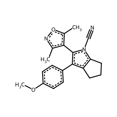 COc1ccc(-c2c3c(n(C#N)c2-c2c(C)noc2C)CCC3)cc1